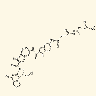 CNC(=O)CC/C(C)=N/NC(=O)CCC(=O)Nc1ccc2[nH]c(C(=O)Nc3ccc4[nH]c(C(=O)N5CC(CCl)c6c5cc(O)c5ccccc65)cc4c3)cc2c1